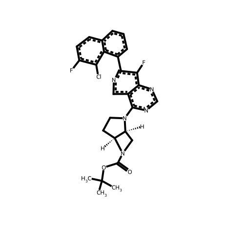 CC(C)(C)OC(=O)N1C[C@H]2[C@@H]1CCN2c1ncnc2c(F)c(-c3cccc4ccc(F)c(Cl)c34)ncc12